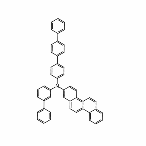 c1ccc(-c2ccc(-c3ccc(N(c4cccc(-c5ccccc5)c4)c4ccc5c(ccc6c7ccccc7ccc56)c4)cc3)cc2)cc1